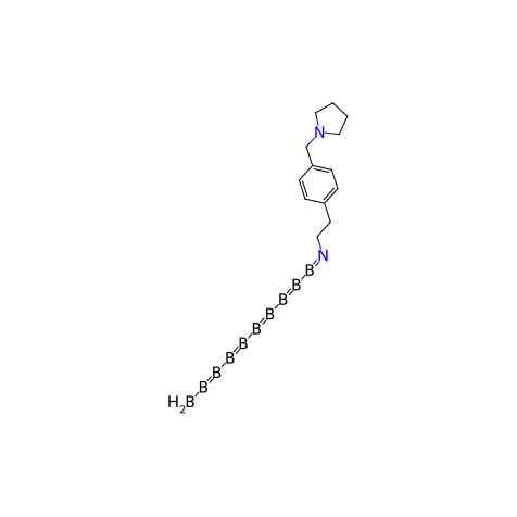 BB=BB=BB=BB=BB=NCCc1ccc(CN2CCCC2)cc1